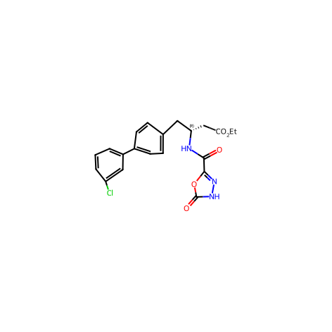 CCOC(=O)C[C@@H](Cc1ccc(-c2cccc(Cl)c2)cc1)NC(=O)c1n[nH]c(=O)o1